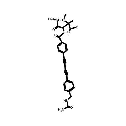 COC(C)(C(F)F)C(NC(=O)c1ccc(C#CC#Cc2ccc(CNC(N)=O)cc2)cc1)C(=O)NO